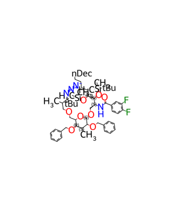 CCCCCCCCCCCCCC[C@@H](O[Si](C)(C)C(C)(C)C)[C@@H](O[Si](C)(C)C(C)(C)C)[C@H](CO[C@H]1OC(COCC(C)CN=[N+]=[N-])[C@H](OCc2ccccc2)[C@H](C)C1OCc1ccccc1)NC(=O)c1ccc(F)c(F)c1